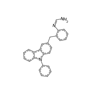 N/C=N\c1ccccc1Cc1ccc2c(c1)c1ccccc1n2-c1ccccc1